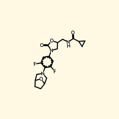 O=C(NCC1CN(c2cc(F)c(N3CC4CCC(C3)O4)c(F)c2)C(=O)O1)C1CC1